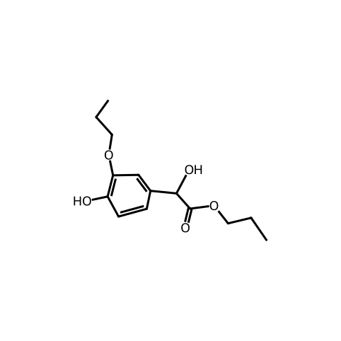 CCCOC(=O)C(O)c1ccc(O)c(OCCC)c1